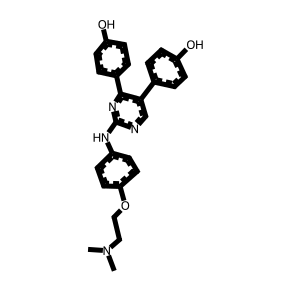 CN(C)CCOc1ccc(Nc2ncc(-c3ccc(O)cc3)c(-c3ccc(O)cc3)n2)cc1